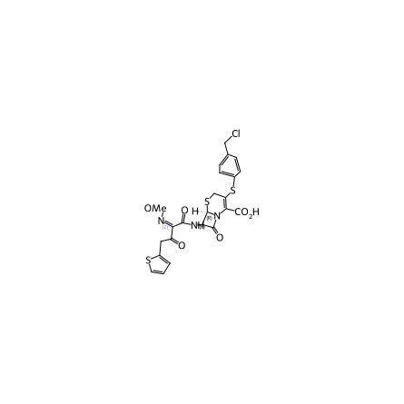 CO/N=C(/C(=O)Cc1cccs1)C(=O)N[C@@H]1C(=O)N2C(C(=O)O)=C(Sc3ccc(CCl)cc3)CS[C@H]12